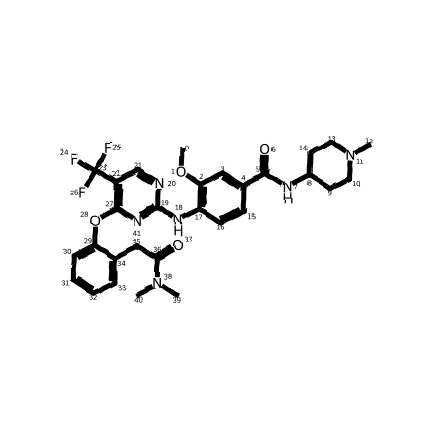 COc1cc(C(=O)NC2CCN(C)CC2)ccc1Nc1ncc(C(F)(F)F)c(Oc2ccccc2CC(=O)N(C)C)n1